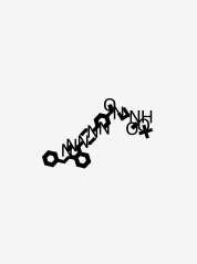 CC(C)(C)OC(=O)NC1CN(C(=O)c2ccc(N3CCN(c4nnc(Cc5ccccc5)c5ccccc45)CC3)nc2)C1